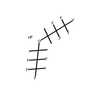 CC(C)(OC(C)(C)C(F)(F)C(F)(F)I)C(F)(F)C(F)(F)I.F